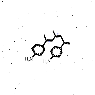 C=C(/C=C(C)\C=C(/C)c1ccc(N)cc1)c1ccc(N)cc1